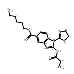 CCCCCCOC(=O)c1ccc2c(c1)nc(NC(=O)CC)n2C1=NCCS1